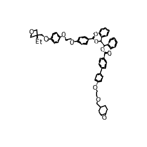 CCC1(COc2ccc(OCCOc3ccc(C(=O)OC(c4ccccc4)C(OC(=O)c4ccc(-c5ccc(OCCOCC6CCC7OC7C6)cc5)cc4)c4ccccc4)cc3)cc2)COC1